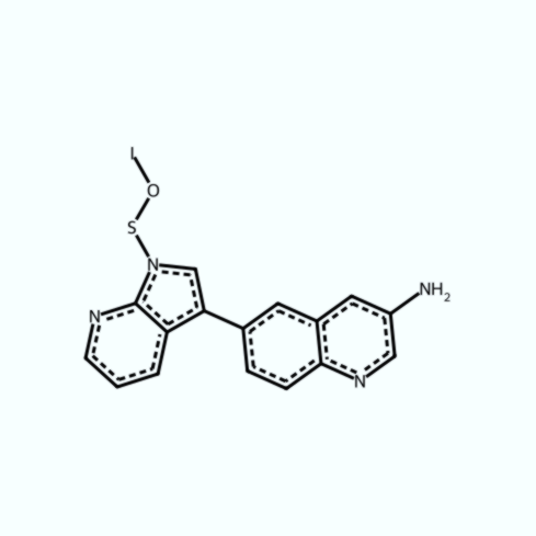 Nc1cnc2ccc(-c3cn(SOI)c4ncccc34)cc2c1